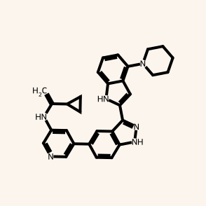 C=C(Nc1cncc(-c2ccc3[nH]nc(-c4cc5c(N6CCCCC6)cccc5[nH]4)c3c2)c1)C1CC1